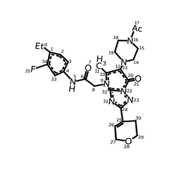 CCc1ccc(NC(=O)Cn2c(C)c(N3CCN(C(C)=O)CC3)c(=O)n3nc(C4=CCOCC4)nc23)cc1F